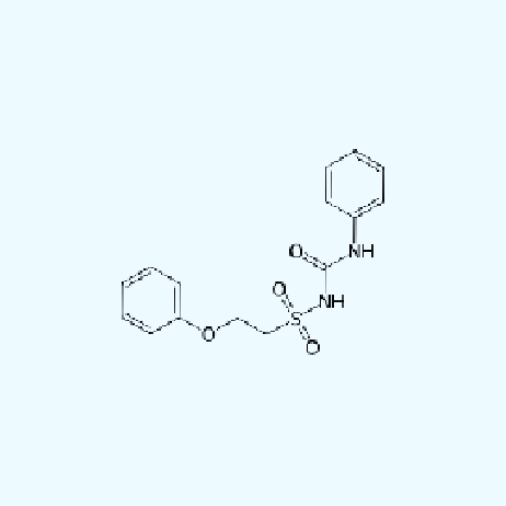 O=C(Nc1ccccc1)NS(=O)(=O)CCOc1ccccc1